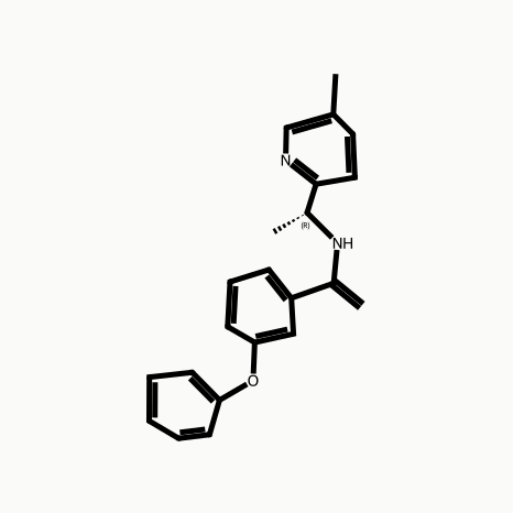 C=C(N[C@H](C)c1ccc(C)cn1)c1cccc(Oc2ccccc2)c1